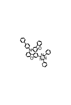 C1=CCCC(c2nc(-c3ccccc3)nc(-c3ccc4c(c3)oc3cccc(N(c5ccc(-c6ccccc6)cc5)c5ccc6oc7ccccc7c6c5)c34)n2)=C1